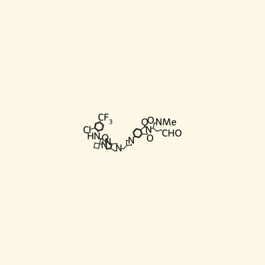 CNC(=O)C(CCC=O)N1C(=O)c2ccc(N3CC(CN4Cc5cn(C6(C(=O)Nc7ccc(C(F)(F)F)cc7Cl)CCC6)nc5C4)C3)cc2C1=O